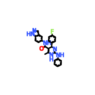 CC1=C(C(=O)Nc2ccc3[nH]ncc3c2)C(c2ccc(F)cc2)N=C(Nc2ccccc2)N1